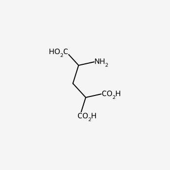 NC(CC(C(=O)O)C(=O)O)C(=O)O